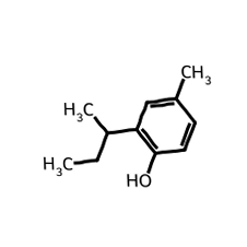 CCC(C)c1cc(C)ccc1O